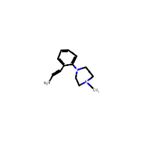 CN1CCN(c2ccccc2/C=C/[N+](=O)[O-])CC1